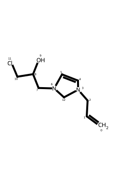 C=CCN1C=CN(CC(O)CCl)C1